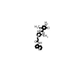 COc1cc(N)c(Cl)cc1C(=O)NC1CCN(CCC(=O)Nc2cccc3ncccc23)CC1OC